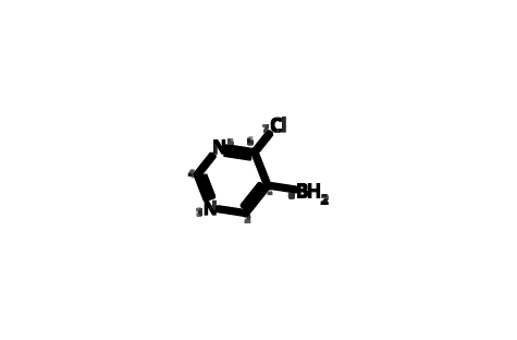 Bc1cncnc1Cl